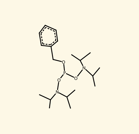 CC(C)N(OP(OCc1ccccc1)ON(C(C)C)C(C)C)C(C)C